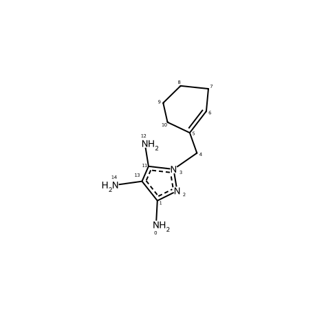 Nc1nn(CC2=CCCCC2)c(N)c1N